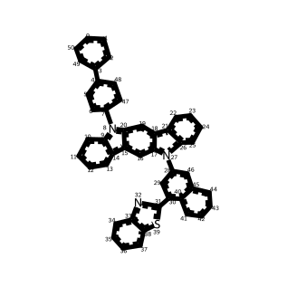 c1ccc(-c2ccc(-n3c4ccccc4c4cc5c(cc43)c3ccccc3n5-c3cc(-c4nc5ccccc5s4)c4ccccc4c3)cc2)cc1